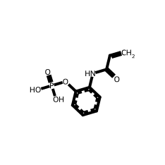 C=CC(=O)Nc1ccccc1OP(=O)(O)O